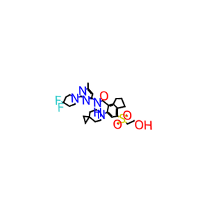 Cc1cc(NC(=O)c2c(N3CCC4(CC3)CC4)cc(S(=O)(=O)CCO)c3c2CCC3)nc(N2CCC(F)(F)CC2)n1